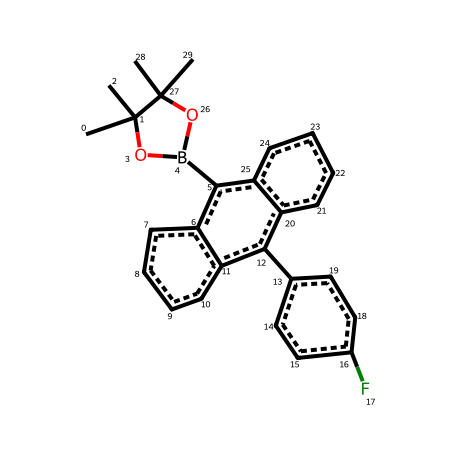 CC1(C)OB(c2c3ccccc3c(-c3ccc(F)cc3)c3ccccc23)OC1(C)C